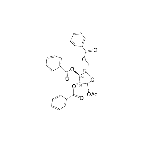 CC(=O)OC1O[C@@H](COC(=O)c2ccccc2)[C@H](OC(=O)c2ccccc2)[C@H]1OC(=O)c1ccccc1